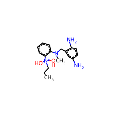 CCC[N+](O)(O)c1ccccc1N(C)Cc1cc(N)ccc1N